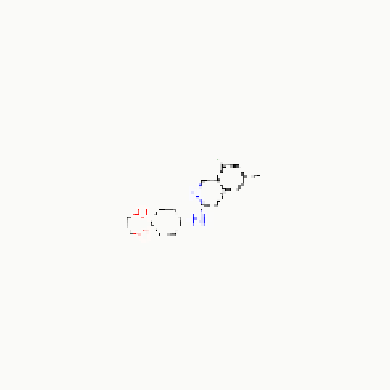 Cc1cc(F)c2cnc(NC3CCC4(CC3)OCCO4)cc2c1